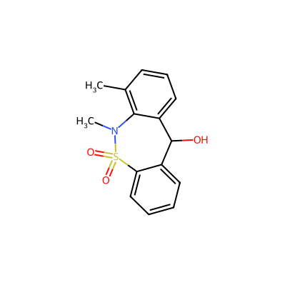 Cc1cccc2c1N(C)S(=O)(=O)c1ccccc1C2O